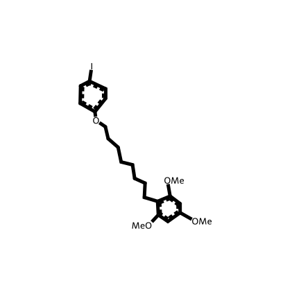 COc1cc(OC)c(CCCCCCCCOc2ccc(I)cc2)c(OC)c1